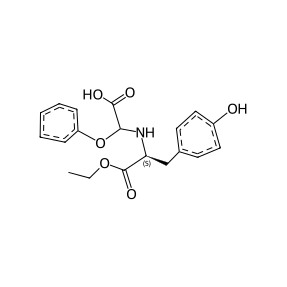 CCOC(=O)[C@H](Cc1ccc(O)cc1)NC(Oc1ccccc1)C(=O)O